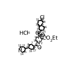 CCOC(=O)C1CN(C(=O)c2ccc(-c3ccncc3)cc2)CCN1S(=O)(=O)c1ccc2cc(Cl)ccc2c1.Cl